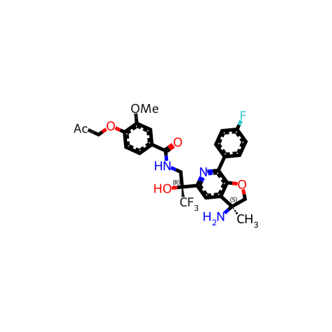 COc1cc(C(=O)NC[C@@](O)(c2cc3c(c(-c4ccc(F)cc4)n2)OC[C@@]3(C)N)C(F)(F)F)ccc1OCC(C)=O